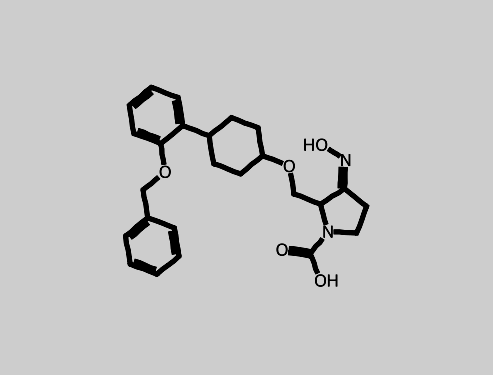 O=C(O)N1CC/C(=N/O)C1COC1CCC(c2ccccc2OCc2ccccc2)CC1